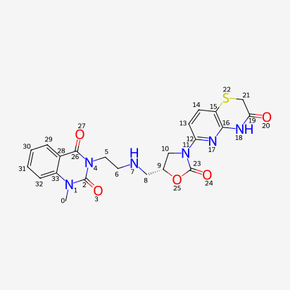 Cn1c(=O)n(CCNC[C@@H]2CN(c3ccc4c(n3)NC(=O)CS4)C(=O)O2)c(=O)c2ccccc21